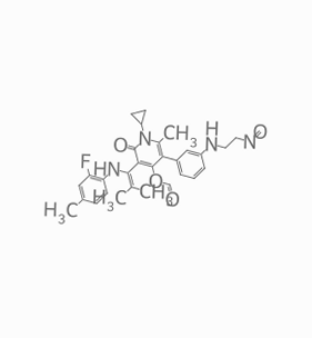 CC(C)=C(Nc1ccc(C)cc1F)c1c(OC=O)c(-c2cccc(NCCN=O)c2)c(C)n(C2CC2)c1=O